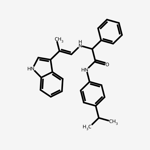 CC(=CNC(C(=O)Nc1ccc(C(C)C)cc1)c1ccccc1)c1c[nH]c2ccccc12